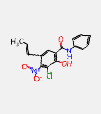 CC=Cc1cc(C(=O)Nc2ccccc2)c(O)c(Cl)c1[N+](=O)[O-]